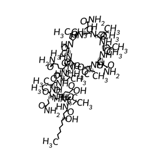 CCCCCCC[C@@H](O)CC(=O)N[C@@H](CC(C)C)C(=O)N[C@H](CCC(=O)O)C(=O)N[C@H](CCC(N)=O)C(=O)N[C@@H](C(=O)N[C@H](CC(C)C)C(=O)N[C@@H](CCC(N)=O)C(=O)N[C@@H]1COC(=O)[C@H]([C@@H](C)CC)NC(=O)[C@@H](CCC(N)=O)NC(=O)[C@H](CC(C)C)NC(=O)[C@H](CC(C)C)NC(=O)[C@@H](CCC(N)=O)NC(=O)C(CC(C)C)NC(=O)[C@@H](C)NC1=O)C(C)C